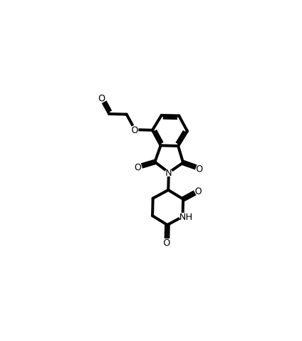 O=CCOc1cccc2c1C(=O)N(C1CCC(=O)NC1=O)C2=O